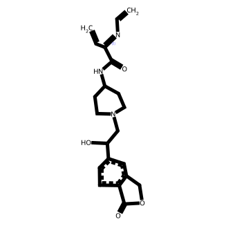 C=C/N=C(\C=C)C(=O)NC1CCN(CC(O)c2ccc3c(c2)COC3=O)CC1